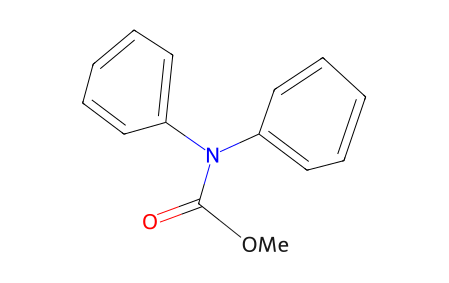 COC(=O)N(c1ccccc1)c1ccccc1